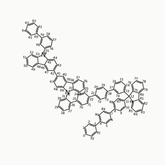 c1ccc(-c2ccc(-c3ccc(C4(c5cccc(-c6ccc(-c7ccc(-c8ccccc8-n8c9ccccc9c9cc(-c%10ccc%11c(c%10)c%10ccccc%10n%11-c%10cccc(-c%11ccccc%11)c%10)ccc98)cc7)cc6)c5)c5ccccc5-c5ccccc54)cc3)cc2)cc1